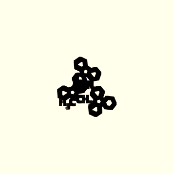 CC1(C)c2ccccc2-c2ccc(N(c3ccc4c(c3)-c3ccccc3C43CCCCC3)c3cccc4c3C3(c5ccccc5-4)C4CC5CC(C4)CC3C5)cc21